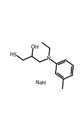 CCN(CC(O)CS)c1cccc(C)c1.[NaH]